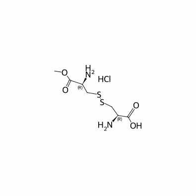 COC(=O)[C@@H](N)CSSC[C@H](N)C(=O)O.Cl